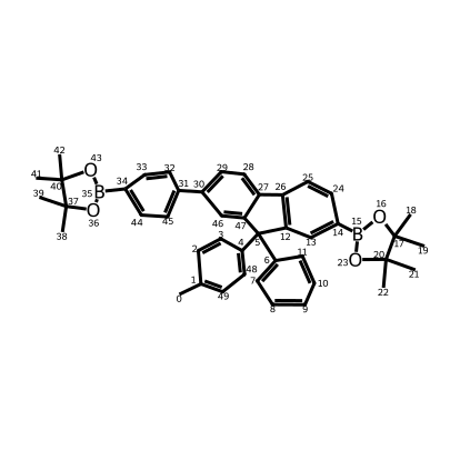 Cc1ccc(C2(c3ccccc3)c3cc(B4OC(C)(C)C(C)(C)O4)ccc3-c3ccc(-c4ccc(B5OC(C)(C)C(C)(C)O5)cc4)cc32)cc1